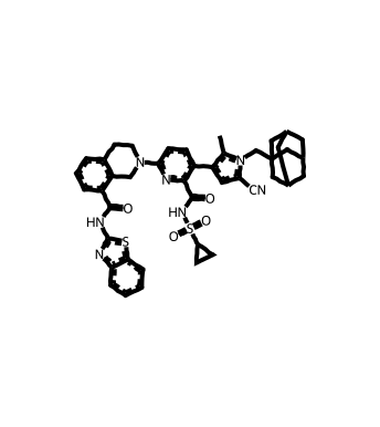 Cc1c(-c2ccc(N3CCc4cccc(C(=O)Nc5nc6ccccc6s5)c4C3)nc2C(=O)NS(=O)(=O)C2CC2)cc(C#N)n1CC12CC3CC(CC(C3)C1)C2